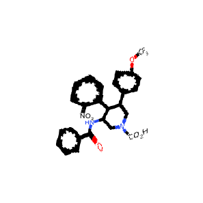 O=C(NC1CN(C(=O)O)CC(c2ccc(OC(F)(F)F)cc2)C1c1ccccc1[N+](=O)[O-])c1ccccc1